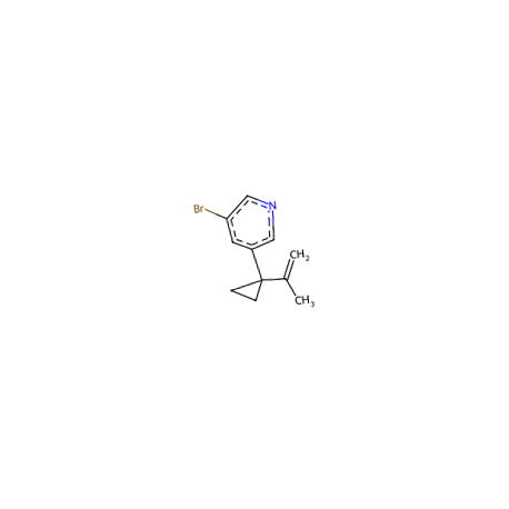 C=C(C)C1(c2cncc(Br)c2)CC1